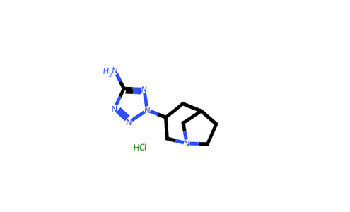 Cl.Nc1nnn(C2CC3CCN(C3)C2)n1